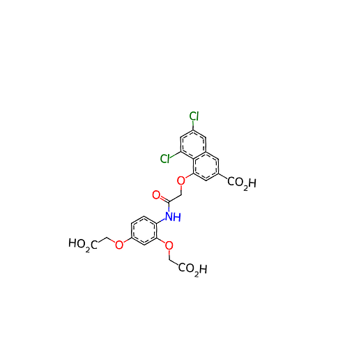 O=C(O)COc1ccc(NC(=O)COc2cc(C(=O)O)cc3cc(Cl)cc(Cl)c23)c(OCC(=O)O)c1